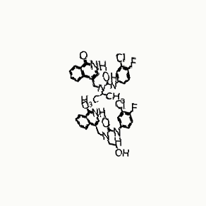 CC(C)N(Cc1c[nH]c(=O)c2ccccc12)C(=O)Nc1ccc(F)c(Cl)c1.O=C(Nc1ccc(F)c(Cl)c1)N(CCO)Cc1c[nH]c(=O)c2ccccc12